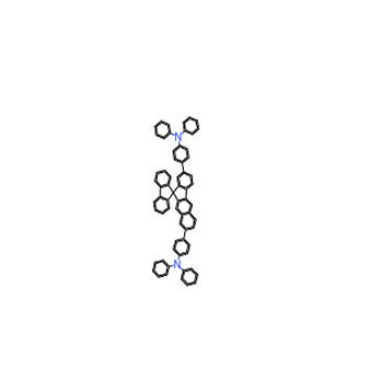 c1ccc(N(c2ccccc2)c2ccc(-c3ccc4c(c3)C3(c5ccccc5-c5ccccc53)c3cc5cc(-c6ccc(N(c7ccccc7)c7ccccc7)cc6)ccc5cc3-4)cc2)cc1